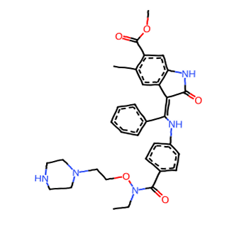 CCN(OCCN1CCNCC1)C(=O)c1ccc(N/C(=C2\C(=O)Nc3cc(C(=O)OC)c(C)cc32)c2ccccc2)cc1